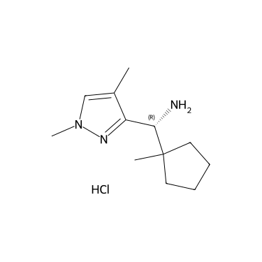 Cc1cn(C)nc1[C@H](N)C1(C)CCCC1.Cl